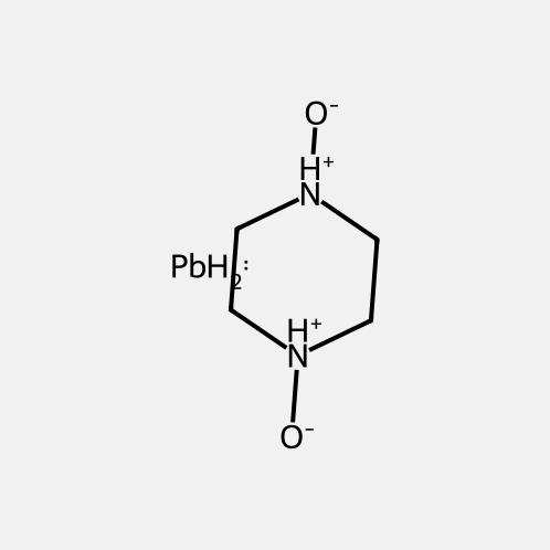 [O-][NH+]1CC[NH+]([O-])CC1.[PbH2]